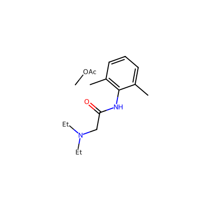 CCN(CC)CC(=O)Nc1c(C)cccc1C.COC(C)=O